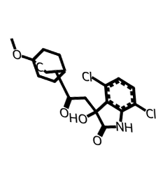 COC12CCC(CC1)C(C(=O)CC1(O)C(=O)Nc3c(Cl)ccc(Cl)c31)CC2